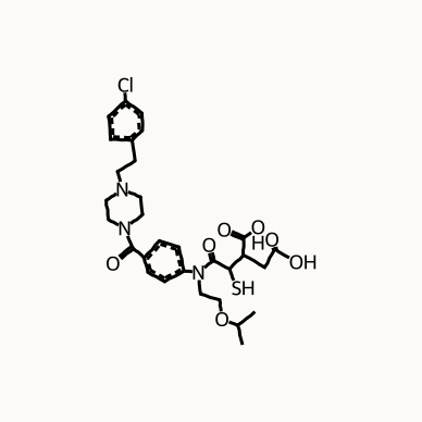 CC(C)OCCN(C(=O)C(S)C(CC(=O)O)C(=O)O)c1ccc(C(=O)N2CCN(CCc3ccc(Cl)cc3)CC2)cc1